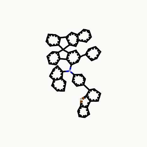 c1ccc(-c2cc(N(c3ccc(-c4cccc5c4sc4ccccc45)cc3)c3cccc4ccccc34)c3c(c2)C2(c4ccccc4-c4cc5ccccc5cc42)c2ccccc2-3)cc1